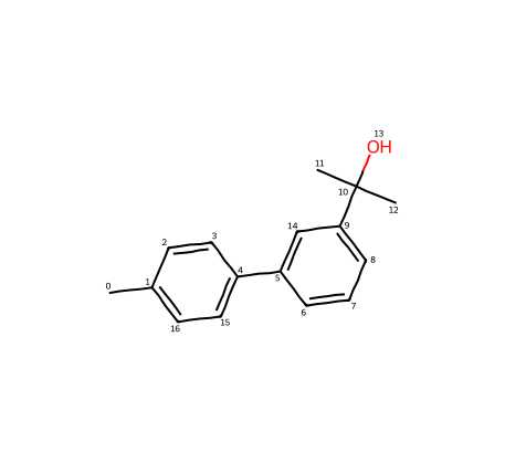 Cc1ccc(-c2cccc(C(C)(C)O)c2)cc1